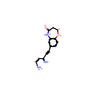 N=C(C#Cc1ccc2c(c1)NC(=O)CCO2)/C=C\N